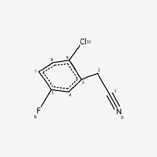 N#CCc1cc(F)ccc1Cl